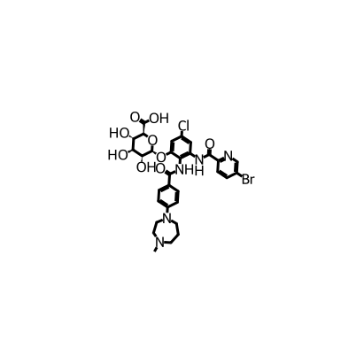 CN1CCCN(c2ccc(C(=O)Nc3c(NC(=O)c4ccc(Br)cn4)cc(Cl)cc3O[C@@H]3O[C@H](C(=O)O)[C@@H](O)[C@H](O)[C@H]3O)cc2)CC1